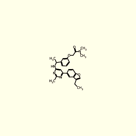 CCc1coc2ccc(-c3cc(NC(C)c4cccc(OCC(=O)N(C)C)c4)nc(C)n3)cc12